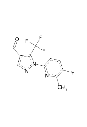 Cc1nc(-n2ncc(C=O)c2C(F)(F)F)ccc1F